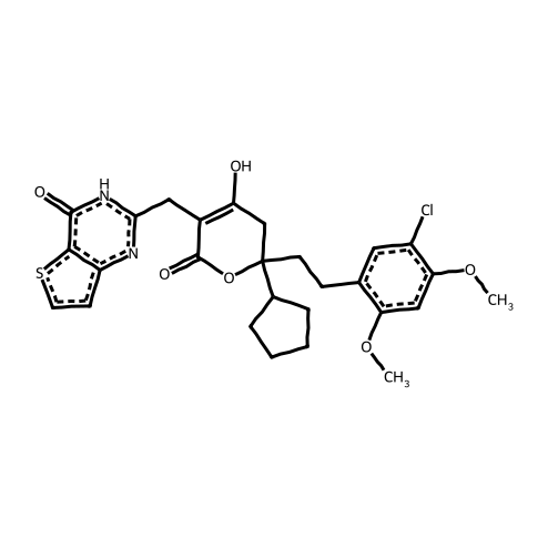 COc1cc(OC)c(CCC2(C3CCCC3)CC(O)=C(Cc3nc4ccsc4c(=O)[nH]3)C(=O)O2)cc1Cl